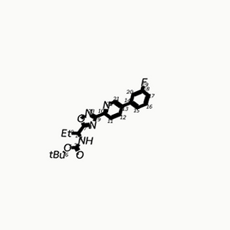 CCC(NC(=O)OC(C)(C)C)c1nc(-c2ccc(-c3cccc(F)c3)cn2)no1